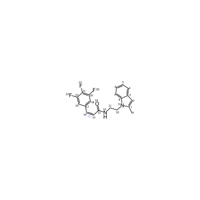 Cc1cc2ccccc2n1CCNC(=O)/C=C\c1cc(F)c(F)c(F)c1